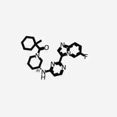 CC1(C(=O)N2CCC[C@@H](Nc3ccnc(-c4cnc5ccc(F)cn45)n3)C2)CCCCC1